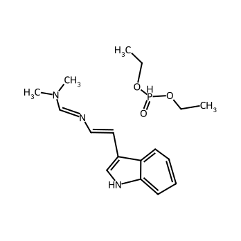 CCO[PH](=O)OCC.CN(C)C=NC=Cc1c[nH]c2ccccc12